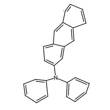 [c]1cccc2cc3cc(N(c4ccccc4)c4ccccc4)ccc3cc12